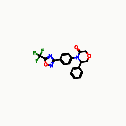 O=C1COCC(c2ccccc2)N1c1ccc(-c2noc(C(F)(F)F)n2)cc1